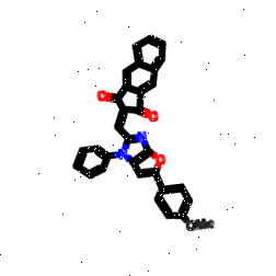 COc1ccc(-c2cc3c(nc(C=C4C(=O)c5cc6ccccc6cc5C4=O)n3-c3ccccc3)o2)cc1